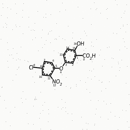 O=C(O)c1cc(Oc2ccc(Cl)cc2[N+](=O)[O-])ccc1O